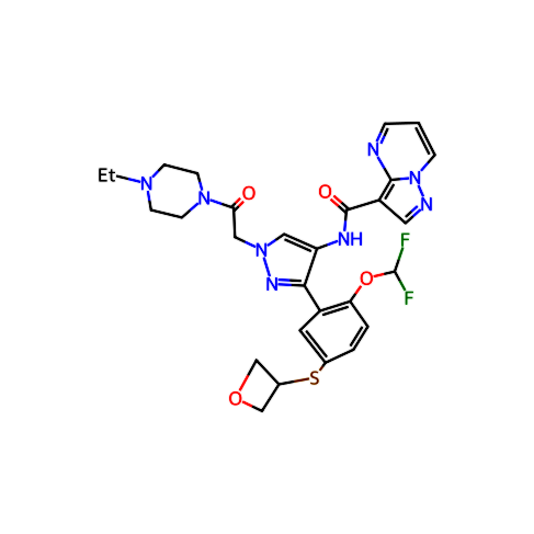 CCN1CCN(C(=O)Cn2cc(NC(=O)c3cnn4cccnc34)c(-c3cc(SC4COC4)ccc3OC(F)F)n2)CC1